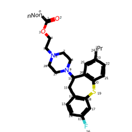 CCCCCCCCCC(=O)OCCN1CCN(C2Cc3ccc(F)cc3Sc3ccc(C(C)C)cc32)CC1